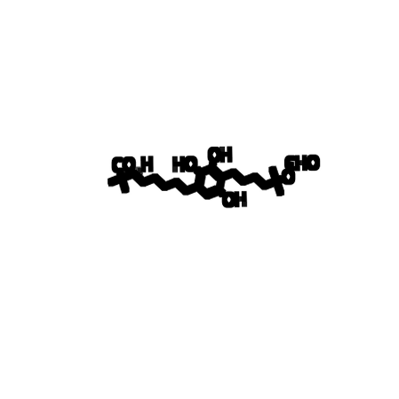 CC(C)(CCCCc1c(O)cc(CCCCCCC(C)(C)C(=O)O)c(O)c1O)OC=O